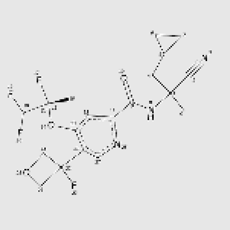 CC(C#N)(CC1CC1)NC(=O)c1cc(O[C@@](C)(F)C(F)F)c(C2(F)COC2)cn1